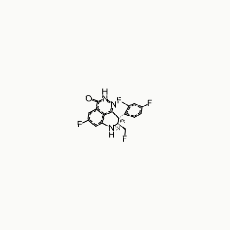 O=c1[nH]nc2c3c(cc(F)cc13)N[C@H](CF)[C@H]2c1ccc(F)cc1F